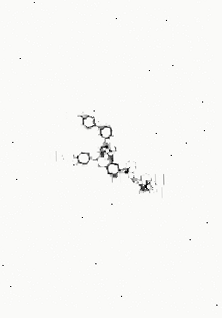 CC(C)(C)c1ccc(C(Cc2ccc(C(=O)NCCP(=O)(O)O)cc2)c2cc(-c3cccc(-c4ccc(Cl)cc4)c3)on2)cc1